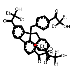 CCC(O)(CC)C(=O)c1ccc(CC2(Cc3ccc(C(=O)C(O)(CC)CC)cc3)c3cc(C(=O)C(O)(CC)CC)ccc3-c3ccc(C(=O)C(O)(CC)CC)cc32)cc1